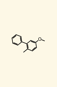 COc1ccc(C)c(-c2ccccc2)c1